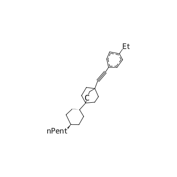 CCCCC[C@H]1CC[C@H](C23CCC(C#Cc4ccc(CC)cc4)(CC2)CC3)CC1